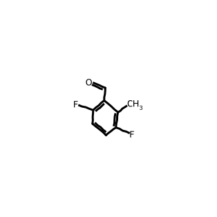 Cc1c(F)ccc(F)c1C=O